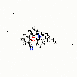 CCc1ccccc1N(C)c1cccc2c1oc1c(C#N)cccc12